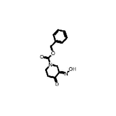 O=C1CCN(C(=O)OCc2ccccc2)C/C1=N\O